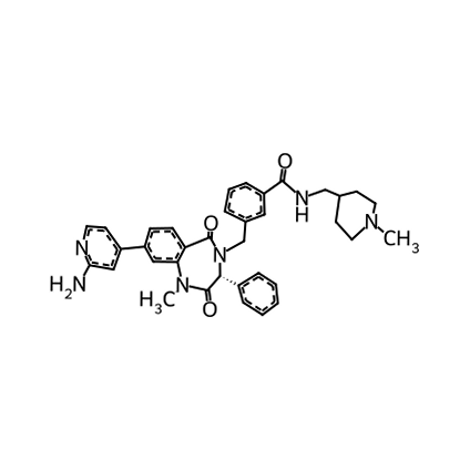 CN1CCC(CNC(=O)c2cccc(CN3C(=O)c4ccc(-c5ccnc(N)c5)cc4N(C)C(=O)[C@H]3c3ccccc3)c2)CC1